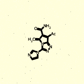 C=c1c(C(N)=O)c(C(C)=O)c2nnc(-n3ccnc3)n12